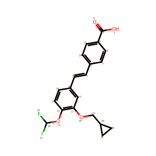 O=C(O)c1ccc(/C=C/c2ccc(OC(F)F)c(OCC3CC3)c2)cc1